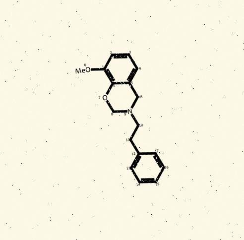 COc1cccc2c1OCN(CCc1ccccc1)C2